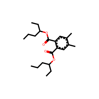 CCCC(CC)OC(=O)c1cc(C)c(C)cc1C(=O)OC(CC)CCC